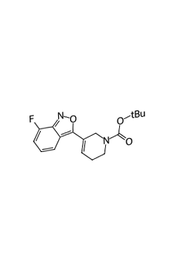 CC(C)(C)OC(=O)N1CCC=C(c2onc3c(F)cccc23)C1